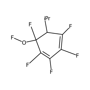 CC(C)C1C(F)=C(F)C(F)=C(F)C1(F)OF